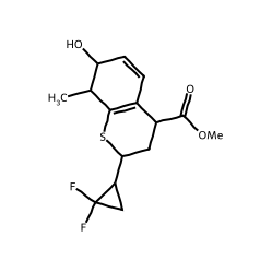 COC(=O)C1CC(C2CC2(F)F)SC2=C1C=CC(O)C2C